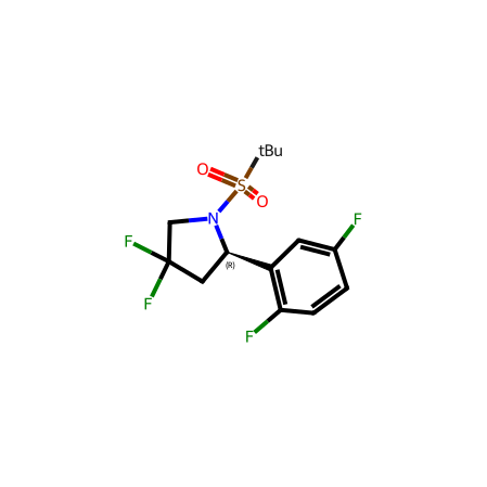 CC(C)(C)S(=O)(=O)N1CC(F)(F)C[C@@H]1c1cc(F)ccc1F